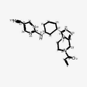 C=CC(=O)N1CCn2c(nnc2[C@H]2CCC[C@@H](Nc3ncc(C#N)cn3)C2)C1